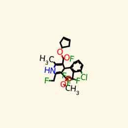 COC(=O)C1=C(CF)NC(C)=C(C(=O)OC2CC=CC2)C1c1c(F)ccc(Cl)c1C(F)(F)F